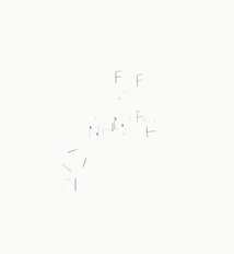 CC(C)(C)N(C(=O)O)[C@H](COC(F)F)C(=O)NCc1ccc(Cl)cc1